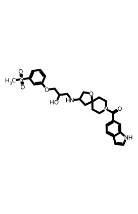 CS(=O)(=O)c1cccc(OCC(O)CNC2COC3(CCN(C(=O)c4ccc5cc[nH]c5c4)CC3)C2)c1